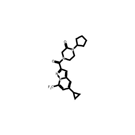 O=C(c1cc2cc(C3CC3)cc(C(F)(F)F)n2n1)N1CCN(C2CCCC2)C(=O)C1